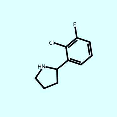 Fc1cccc(C2CCCN2)c1Cl